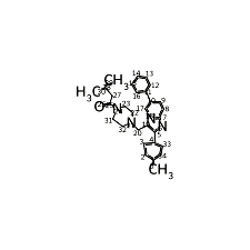 Cc1ccc(-c2nc3ccc(-c4ccccc4)cn3c2CN2CCN(C(=O)CC(C)C)CC2)cc1